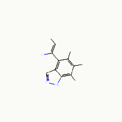 C/C=C(\N)c1c(C)c(F)c(C)c2[nH]ncc12